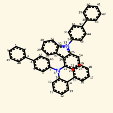 c1ccc(-c2ccc(N(c3ccccc3-c3ccccc3)c3cccc4c3c3ccccc3n4-c3ccc(-c4ccccc4)cc3)cc2)cc1